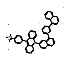 C[Si](C)(C)c1ccc(-c2c3ccccc3c(-c3ccc4cccc(-c5cccc(-c6cccc7ccccc67)c5)c4c3)c3ccccc23)cc1